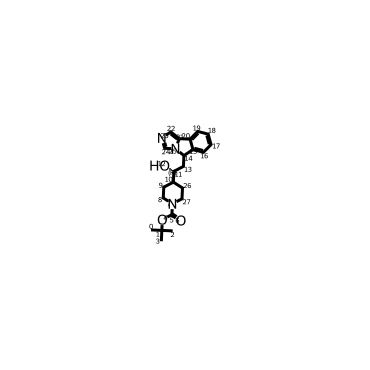 CC(C)(C)OC(=O)N1CCC([C@H](O)CC2c3ccccc3-c3cncn32)CC1